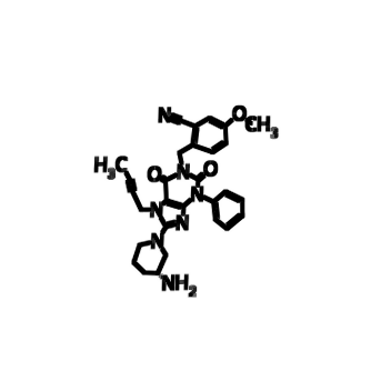 CC#CCn1c(N2CCC[C@@H](N)C2)nc2c1c(=O)n(Cc1ccc(OC)cc1C#N)c(=O)n2-c1ccccc1